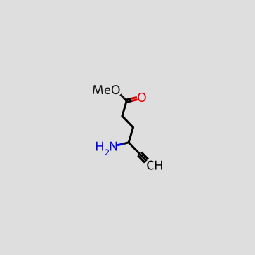 C#CC(N)CCC(=O)OC